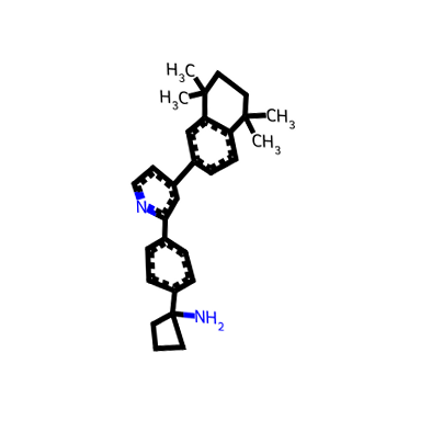 CC1(C)CCC(C)(C)c2cc(-c3ccnc(-c4ccc(C5(N)CCC5)cc4)c3)ccc21